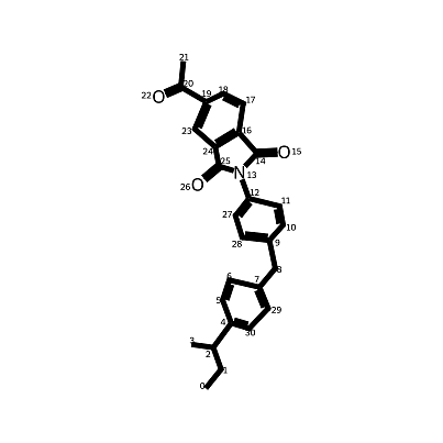 CCC(C)c1ccc(Cc2ccc(N3C(=O)c4ccc(C(C)=O)cc4C3=O)cc2)cc1